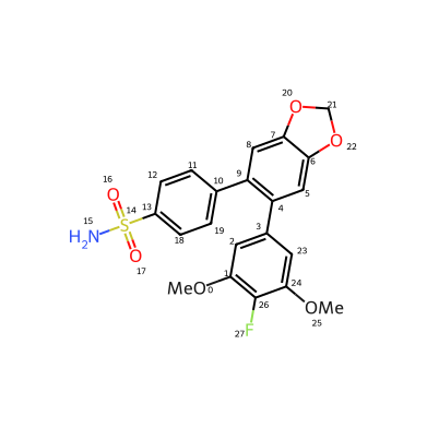 COc1cc(-c2cc3c(cc2-c2ccc(S(N)(=O)=O)cc2)OCO3)cc(OC)c1F